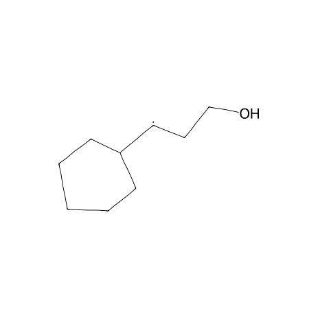 OCC[CH]C1CCCCC1